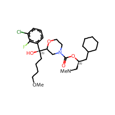 CNC[C@H](CC1CCCCC1)OC(=O)N1CCOC([C@](O)(CCCCOC)c2cccc(Cl)c2F)C1